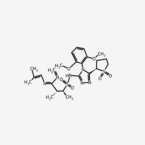 C=N/C(=N\C=C(C)C)[C@@H](C)[C@H](C)S(=O)(=O)Nc1nnc([C@H]2CCCS2(=O)=O)n1-c1c(OC)cccc1OC